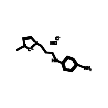 CN1[C+]N(CCCNc2ccc(N)cc2)C=C1.Cl.[Cl-]